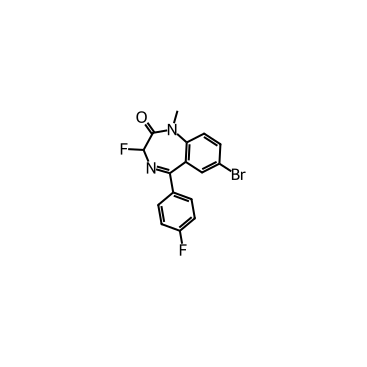 CN1C(=O)C(F)N=C(c2ccc(F)cc2)c2cc(Br)ccc21